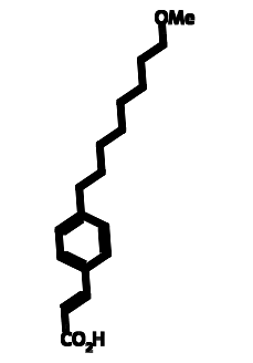 COCCCCCCCCc1ccc(C=CC(=O)O)cc1